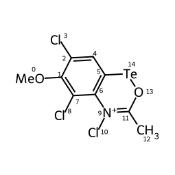 COc1c(Cl)cc2c(c1Cl)[N+](Cl)=C(C)O[Te]2